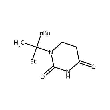 CCCCC(C)(CC)N1CCC(=O)NC1=O